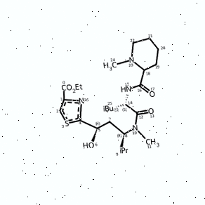 CCOC(=O)c1csc([C@H](O)C[C@H](C(C)C)N(C)C(=O)[C@@H](NC(=O)C2CCCCN2C)[C@@H](C)CC)n1